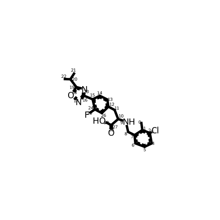 Cc1c(Cl)cccc1CNC(Cc1ccc(-c2noc(C(C)C)n2)c(F)c1)C(=O)O